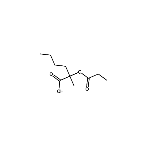 CCCCC(C)(OC(=O)CC)C(=O)O